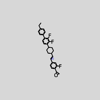 CCc1ccc(-c2ccc(C3CCC(/C=C/c4ccc(C5CO5)c(F)c4)CC3)c(F)c2F)cc1